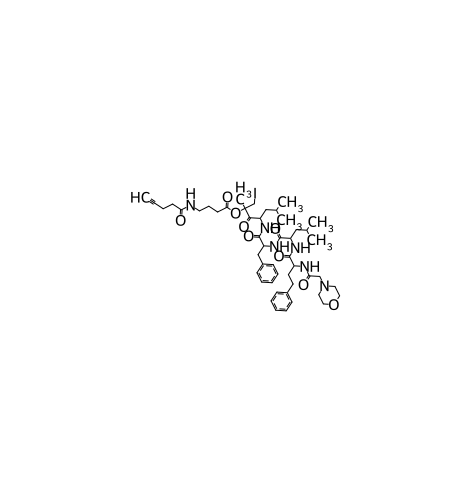 C#CCCC(=O)NCCCC(=O)OC(C)(CI)C(=O)C(CC(C)C)NC(=O)C(Cc1ccccc1)NC(=O)C(CC(C)C)NC(=O)C(CCc1ccccc1)NC(=O)CN1CCOCC1